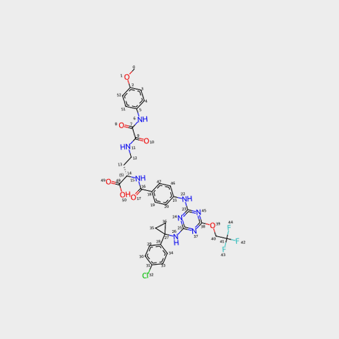 COc1ccc(NC(=O)C(=O)NCC[C@H](NC(=O)c2ccc(Nc3nc(NC4(c5ccc(Cl)cc5)CC4)nc(OCC(F)(F)F)n3)cc2)C(=O)O)cc1